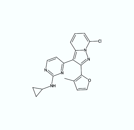 Cc1ccoc1-c1nn2c(Cl)cccc2c1-c1ccnc(NC2CC2)n1